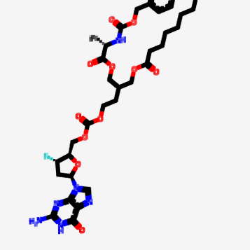 CCCCCCCCCCCCCCCCCC(=O)OCC(CCOC(=O)OC[C@H]1O[C@@H](n2cnc3c(=O)[nH]c(N)nc32)C[C@@H]1F)COC(=O)[C@@H](NC(=O)OCc1ccccc1)C(C)C